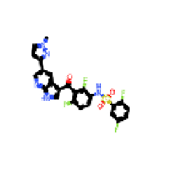 Cn1ccc(-c2cnc3[nH]cc(C(=O)c4c(F)ccc(NS(=O)(=O)c5cc(F)ccc5F)c4F)c3c2)n1